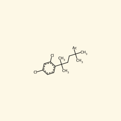 CC(=O)C(C)(C)CCC(C)(C)c1ccc(Cl)cc1Cl